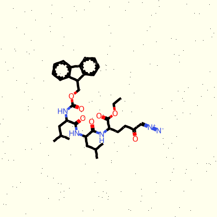 CCOC(=O)C(CCC(=O)C=[N+]=[N-])NC(=O)C(CC(C)C)NC(=O)C(CC(C)C)NC(=O)OCC1c2ccccc2-c2ccccc21